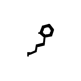 FCC=Cc1[c]cccc1